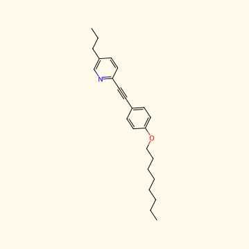 CCCCCCCCOc1ccc(C#Cc2ccc(CCC)cn2)cc1